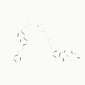 COc1cc(CCc2ccc3cc(O[C@H]4C[C@H](OC5CCN(CCCCCOc6ccc7c(c6)C(=O)N(C6CCC(=O)NC6=O)C7=O)CC5)C4)ccc3n2)ccn1